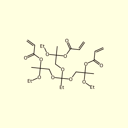 C=CC(=O)OC(C)(COC(CC)(OCC(C)(OCC)OC(=O)C=C)OCC(C)(OCC)OC(=O)C=C)OCC